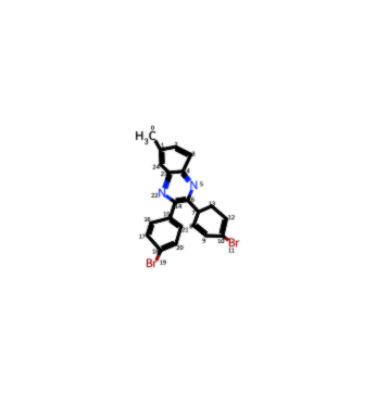 Cc1ccc2nc(C3C=CC(Br)=CC3)c(-c3ccc(Br)cc3)nc2c1